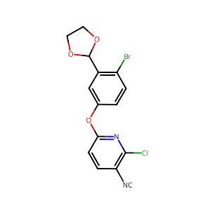 [C-]#[N+]c1ccc(Oc2ccc(Br)c(C3OCCO3)c2)nc1Cl